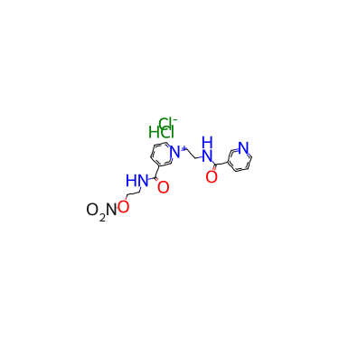 Cl.O=C(NCCO[N+](=O)[O-])c1ccc[n+](CCNC(=O)c2cccnc2)c1.[Cl-]